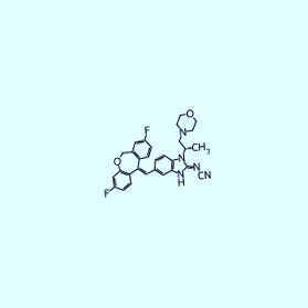 C[C@H](CN1CCOCC1)n1/c(=N/C#N)[nH]c2cc(/C=C3\c4ccc(F)cc4COc4cc(F)ccc43)ccc21